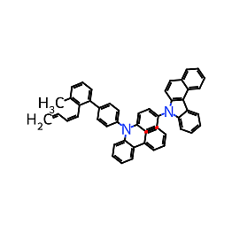 C=C/C=C\c1c(C)cccc1-c1ccc(N(c2ccc(-n3c4ccccc4c4c5ccccc5ccc43)cc2)c2ccccc2-c2ccccc2)cc1